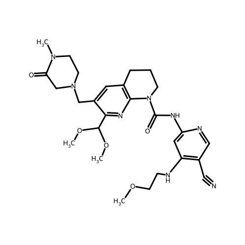 COCCNc1cc(NC(=O)N2CCCc3cc(CN4CCN(C)C(=O)C4)c(C(OC)OC)nc32)ncc1C#N